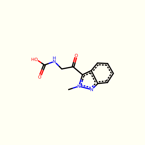 Cn1nc2ccccc2c1C(=O)CNC(=O)O